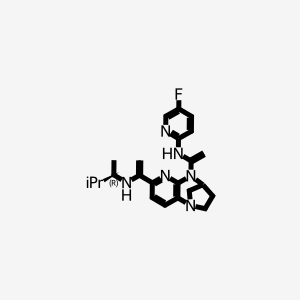 C=C(N[C@H](C)C(C)C)c1ccc2c(n1)N(C(=C)Nc1ccc(F)cn1)C1CCN2C1